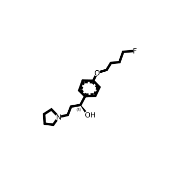 O[C@@H](CCN1CCCC1)c1ccc(OCCCCF)cc1